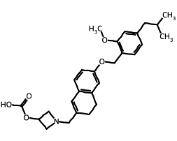 COc1cc(CC(C)C)ccc1COc1ccc2c(c1)CCC(CN1CC(OC(=O)O)C1)=C2